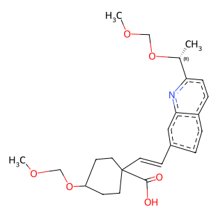 COCOC1CCC(C=Cc2ccc3ccc([C@@H](C)OCOC)nc3c2)(C(=O)O)CC1